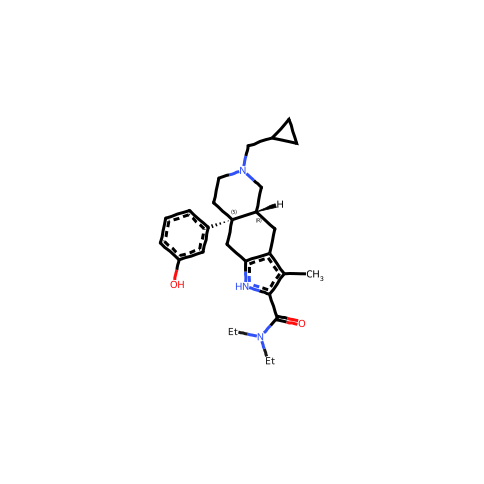 CCN(CC)C(=O)c1[nH]c2c(c1C)C[C@H]1CN(CC3CC3)CC[C@]1(c1cccc(O)c1)C2